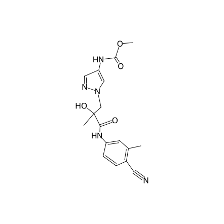 COC(=O)Nc1cnn(CC(C)(O)C(=O)Nc2ccc(C#N)c(C)c2)c1